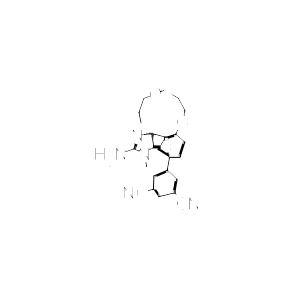 CN1C(=O)[C@@]2(CCCCOCCOc3ccc(-c4cc(C#N)cc(C#N)c4)cc32)N=C1N